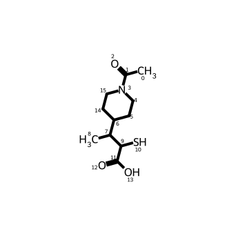 CC(=O)N1CCC(C(C)C(S)C(=O)O)CC1